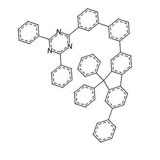 c1ccc(-c2ccc3c(c2)C(c2ccccc2)(c2ccccc2)c2cc(-c4cccc(-c5cccc(-c6nc(-c7ccccc7)nc(-c7ccccc7)n6)c5)c4)ccc2-3)cc1